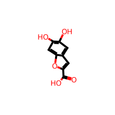 O=C(O)c1cc2cc(O)c(O)cc2o1